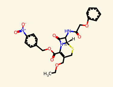 CCOCC1=C(C(=O)OCc2ccc([N+](=O)[O-])cc2)N2C(=O)C(NC(=O)COc3ccccc3)[C@@H]2SC1